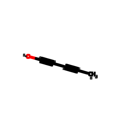 CC#CC#C[O]